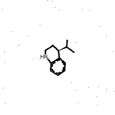 CC(C)[C@@H]1CCNc2ccccc21